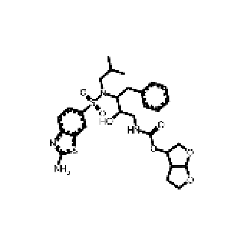 CC(C)CN(C(Cc1ccccc1)C(O)CNC(=O)OC1COC2OCCC12)S(=O)(=O)c1ccc2nc(N)sc2c1